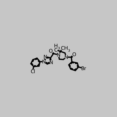 CC1(C)CN(C(=O)c2cccc(Br)c2)CCN1C(=O)c1ncn(-c2cccc(Cl)c2)n1